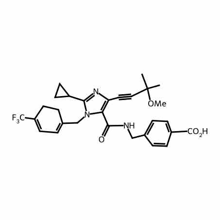 COC(C)(C)C#Cc1nc(C2CC2)n(CC2=CC=C(C(F)(F)F)CC2)c1C(=O)NCc1ccc(C(=O)O)cc1